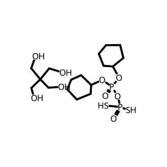 O=P(S)(S)OP(=O)(OC1CCCCC1)OC1CCCCC1.OCC(CO)(CO)CO